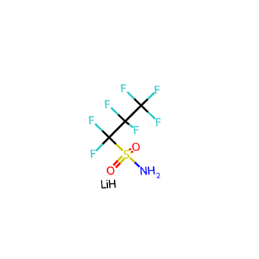 NS(=O)(=O)C(F)(F)C(F)(F)C(F)(F)F.[LiH]